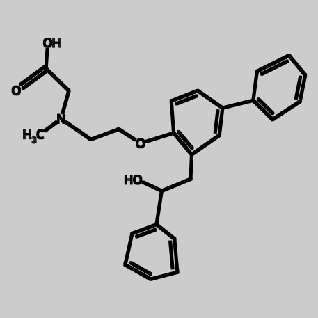 CN(CCOc1ccc(-c2ccccc2)cc1CC(O)c1ccccc1)CC(=O)O